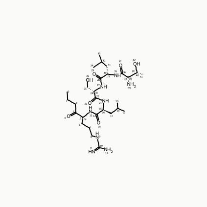 CCCC(=O)[C@H](CCCNC(=N)N)NC(=O)[C@H](CC(C)C)NC(=O)[C@H](CO)NC(=O)[C@H](CC(C)C)NC(=O)[C@@H](N)[C@@H](C)O